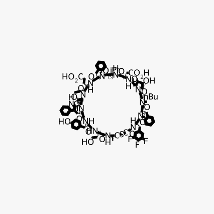 CCCC[C@H]1C(=O)N2C[C@H](O)C[C@@H]2C(=O)N[C@@H](CC(=O)O)C(=O)N[C@@H](C(C)C)C(=O)N(C)[C@@H](Cc2ccccc2)C(=O)N[C@@H](CCC(=O)O)C(=O)N2CCOC[C@@H]2C(=O)N[C@@H](Cc2c[nH]c3ccccc23)C(=O)N[C@@H](Cc2ccc(O)cc2)C(=O)N[C@@H](CCO)C(=O)N[C@H](C)CSCC(=O)N[C@@H](Cc2cc(F)c(F)c(F)c2)C(=O)N(C)[C@@H](Cc2ccccc2)C(=O)N1C